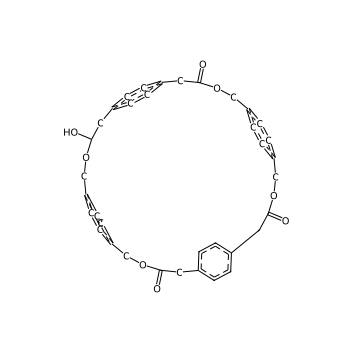 O=C1Cc2ccc(cc2)CC(=O)OCc2ccc(cc2)COC(O)Cc2ccc(cc2)CC(=O)OCc2ccc(cc2)CO1